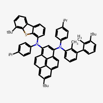 Cc1c(-c2cccc(C(C)(C)C)c2C)cccc1N(c1ccc(C(C)C)cc1)c1cc(N(c2ccc(C(C)C)cc2)c2cccc3c2sc2c(C(C)(C)C)cccc23)c2ccc3cc(C(C)(C)C)cc4ccc1c2c43